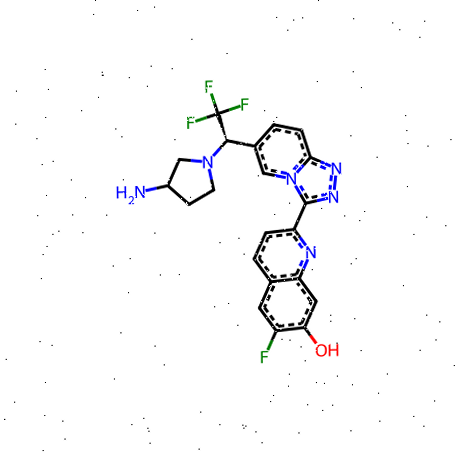 NC1CCN([C@H](c2ccc3nnc(-c4ccc5cc(F)c(O)cc5n4)n3c2)C(F)(F)F)C1